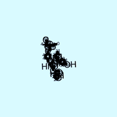 CCOP(=O)(COc1ccc(C[C@H](NC(=O)O[C@H]2CO[C@H]3OCC[C@H]32)[C@H](O)CN(CC(C)C)S(=O)(=O)c2ccc(O)cc2)cc1)O[C@@H](C)C=O